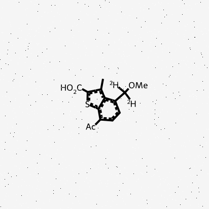 [2H]C([2H])(OC)c1ccc(C(C)=O)c2sc(C(=O)O)c(C)c12